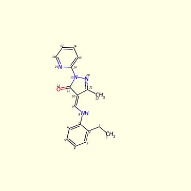 CCc1ccccc1NC=C1C(=O)N(c2ccccn2)N=C1C